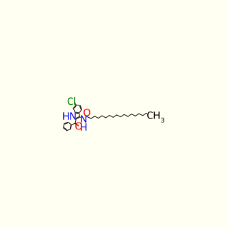 CCCCCCCCCCCCCCCCCC(=O)Nc1c(C(=O)c2ccccc2)[nH]c2cc(Cl)ccc12